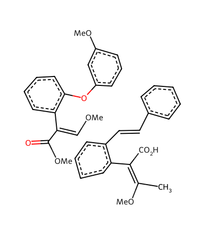 CO/C(C)=C(/C(=O)O)c1ccccc1C=Cc1ccccc1.CO/C=C(/C(=O)OC)c1ccccc1Oc1cccc(OC)c1